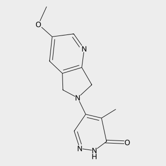 COc1cnc2c(c1)CN(c1cn[nH]c(=O)c1C)C2